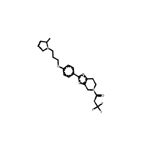 CC1CCCN1CCCOc1ccc(-c2nc3c(s2)CN(C(=O)CC(F)(F)F)CC3)cc1